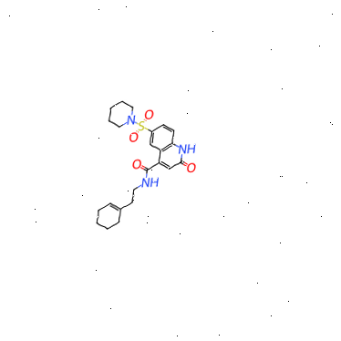 O=C(NCCC1=CCCCC1)c1cc(=O)[nH]c2ccc(S(=O)(=O)N3CCCCC3)cc12